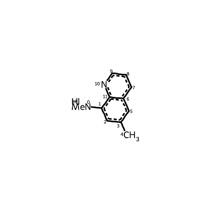 CNc1cc(C)cc2cccnc12.I